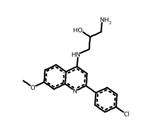 COc1ccc2c(NCC(O)CN)cc(-c3ccc(Cl)cc3)nc2c1